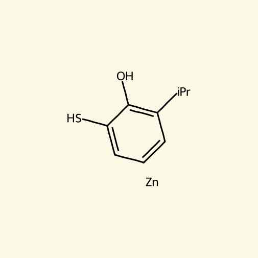 CC(C)c1cccc(S)c1O.[Zn]